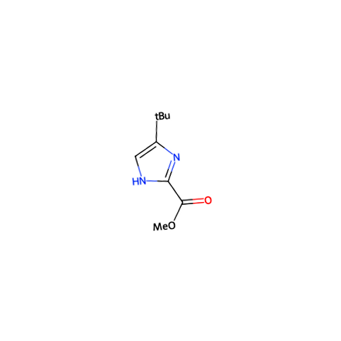 COC(=O)c1nc(C(C)(C)C)c[nH]1